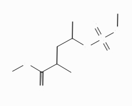 COC(=O)C(C)CC(C)OS(=O)(=O)OC